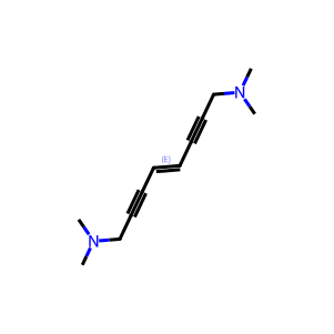 CN(C)CC#C/C=C/C#CCN(C)C